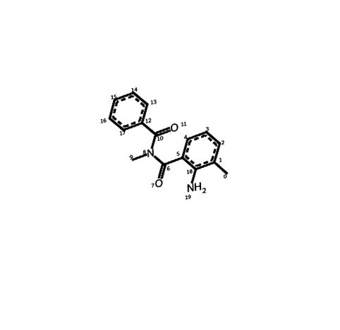 Cc1cccc(C(=O)N(C)C(=O)c2ccccc2)c1N